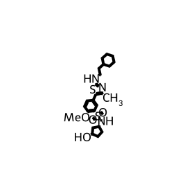 COc1ccc(-c2sc(NCCC3CCCCC3)nc2C)cc1S(=O)(=O)NC1CCC(O)C1